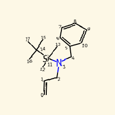 C=CCN(Cc1ccccc1)[Si](C)(C)C(C)(C)C